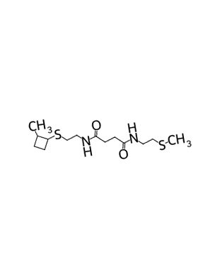 CSCCNC(=O)CCC(=O)NCCSC1CCC1C